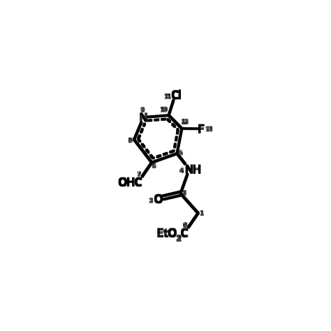 CCOC(=O)CC(=O)Nc1c(C=O)cnc(Cl)c1F